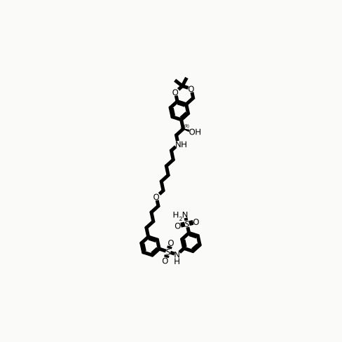 CC1(C)OCc2cc([C@@H](O)CNCCCCCCOCCCCc3cccc(S(=O)(=O)Nc4cccc(S(N)(=O)=O)c4)c3)ccc2O1